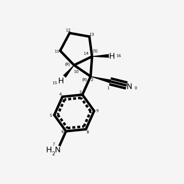 N#C[C@@]1(c2ccc(N)cc2)[C@@H]2CCC[C@@H]21